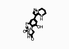 O=C1CN(c2c(O)cc(-c3cnn4c3NCCC4)cc2F)S(=O)(=O)N1